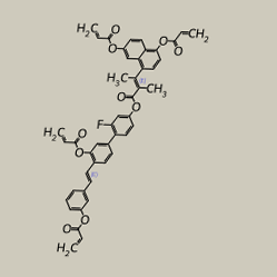 C=CC(=O)Oc1cccc(/C=C/c2ccc(-c3ccc(OC(=O)/C(C)=C(\C)c4ccc(OC(=O)C=C)c5ccc(OC(=O)C=C)cc45)cc3F)cc2OC(=O)C=C)c1